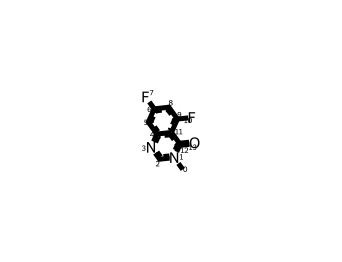 Cn1cnc2cc(F)cc(F)c2c1=O